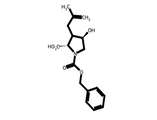 C=C(C)CC1[C@@H](C(=O)O)N(C(=O)OCc2ccccc2)C[C@@H]1O